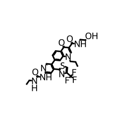 CCCn1cc(C(=O)NCCO)c(=O)c2ccc(-c3cnc(NC(=O)NCC)cc3-c3nc(C(F)(F)F)cs3)cc21